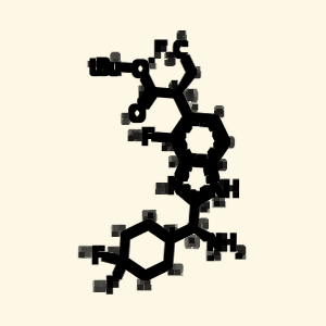 CC(C)(C)OC(=O)[C@@H](CC(F)(F)F)c1ccc2[nH]c([C@@H](N)C3CCC(F)(F)CC3)nc2c1F